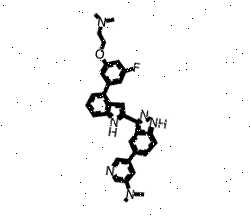 CN(C)CCOc1cc(F)cc(-c2cccc3[nH]c(-c4n[nH]c5ccc(-c6cncc(N(C)C)c6)cc45)cc23)c1